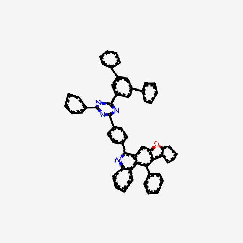 c1ccc(-c2cc(-c3ccccc3)cc(-c3nc(-c4ccccc4)nc(-c4ccc(-c5nc6ccccc6c6c(-c7ccccc7)c7c(cc56)oc5ccccc57)cc4)n3)c2)cc1